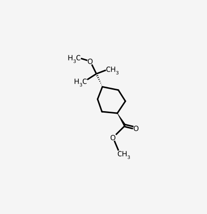 COC(=O)[C@H]1CC[C@H](C(C)(C)OC)CC1